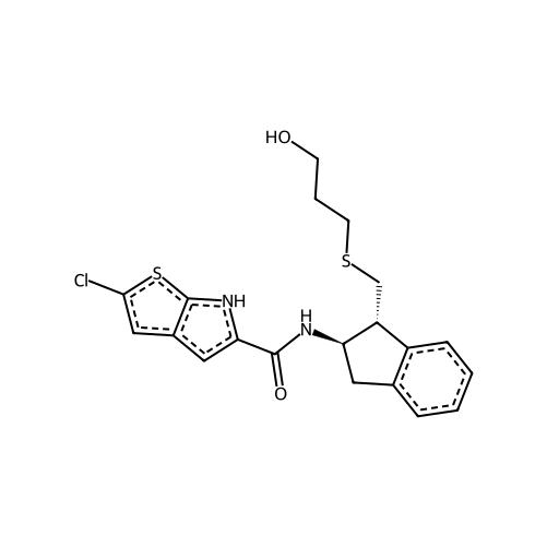 O=C(N[C@@H]1Cc2ccccc2[C@H]1CSCCCO)c1cc2cc(Cl)sc2[nH]1